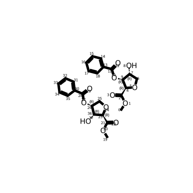 COC(=O)[C@@H]1OC[C@@H](O)[C@H]1OC(=O)c1ccccc1.COC(=O)[C@@H]1OC[C@@H](OC(=O)c2ccccc2)[C@H]1O